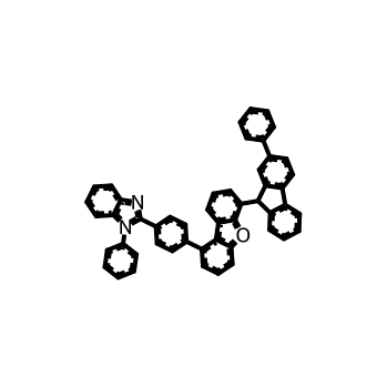 c1ccc(-c2ccc3c(c2)C(c2cccc4c2oc2cccc(-c5ccc(-c6nc7ccccc7n6-c6ccccc6)cc5)c24)c2ccccc2-3)cc1